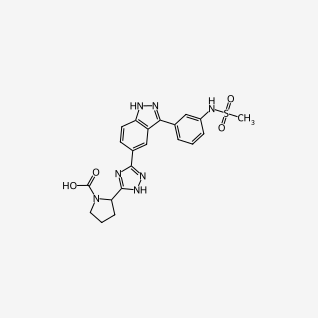 CS(=O)(=O)Nc1cccc(-c2n[nH]c3ccc(-c4n[nH]c(C5CCCN5C(=O)O)n4)cc23)c1